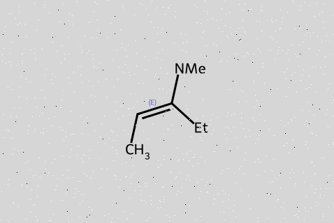 C/C=C(\CC)NC